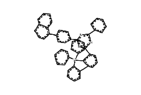 c1ccc(-c2nc(-c3ccc(-c4cccc5ccccc45)cc3)nc(-c3cccc4c3[Si](c3ccccc3)(c3ccccc3)c3ccccc3-4)n2)cc1